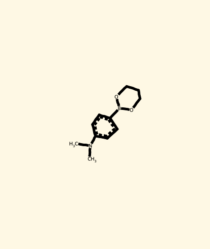 CN(C)c1ccc(B2OCCCO2)cc1